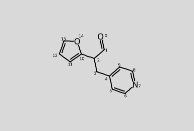 O=CC(Cc1ccncc1)c1ccco1